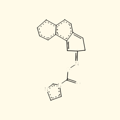 O=C(ON=C1C=c2c(ccc3ccccc23)=CC1)n1ccnc1